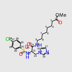 COC(=O)CCCCCCCNC(=O)C(Cn1ccnc1)NS(=O)(=O)c1ccc(Cl)cc1